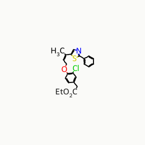 CCOC(=O)Cc1ccc(OC/C=C(/C)c2cnc(-c3ccccc3)s2)c(Cl)c1